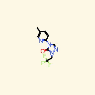 Cc1ccc(-n2cnn(CC(F)(F)F)c2=O)nc1